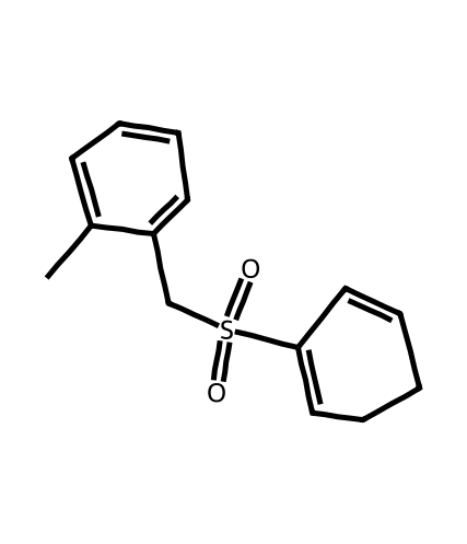 Cc1ccccc1CS(=O)(=O)C1=CCCC=C1